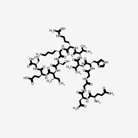 CC[C@H](C)[C@H](NC(=O)[C@H](CS)NC(=O)[C@H](CCCCN)NC(=O)[C@H](CCCNC(=N)N)NC(=O)[C@@H](NC(=O)[C@@H](NC(=O)[C@H](Cc1c[nH]cn1)NC(=O)CNC(=O)CNC(=O)[C@H](CC(N)=O)NC(=O)[C@@H](N)CCC(N)=O)C(C)C)C(C)C)C(=O)N[C@@H](CCC(=O)O)C(=O)N[C@@H](CS)C(=O)O